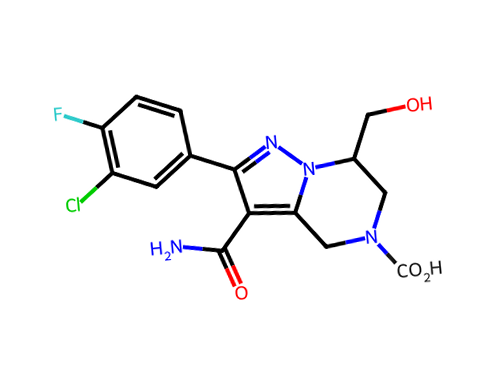 NC(=O)c1c(-c2ccc(F)c(Cl)c2)nn2c1CN(C(=O)O)CC2CO